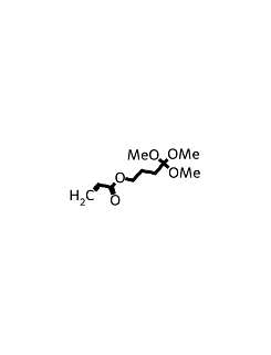 C=CC(=O)OCCCC(OC)(OC)OC